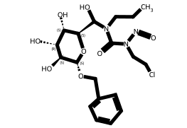 CCCN(C(=O)N(CCCl)N=O)C(O)[C@H]1O[C@H](OCc2ccccc2)[C@@H](O)[C@H](O)[C@@H]1O